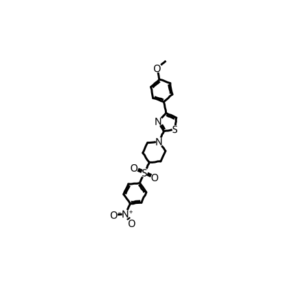 COc1ccc(-c2csc(N3CCC(S(=O)(=O)c4ccc([N+](=O)[O-])cc4)CC3)n2)cc1